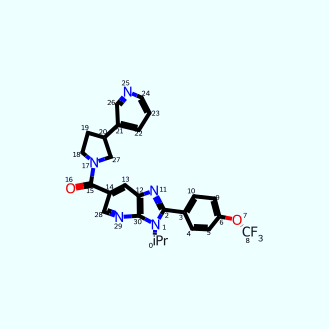 CC(C)n1c(-c2ccc(OC(F)(F)F)cc2)nc2cc(C(=O)N3CCC(c4cccnc4)C3)cnc21